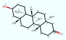 C[C@@]12CC[C@H](O)C[C@H]1CC[C@@H]1[C@H]3CCC(=O)C[C@@H]3CC[C@H]12